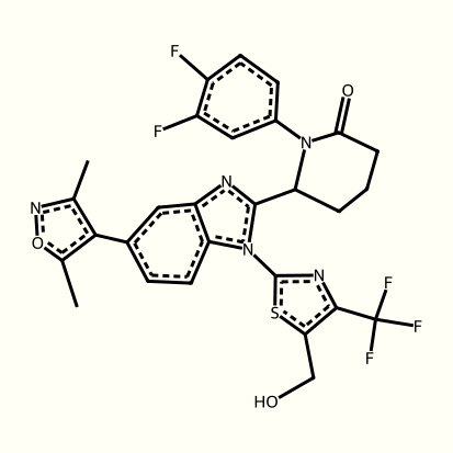 Cc1noc(C)c1-c1ccc2c(c1)nc(C1CCCC(=O)N1c1ccc(F)c(F)c1)n2-c1nc(C(F)(F)F)c(CO)s1